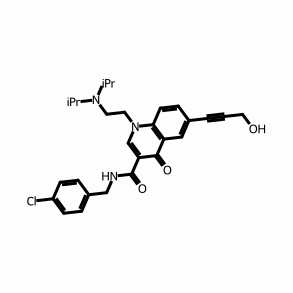 CC(C)N(CCn1cc(C(=O)NCc2ccc(Cl)cc2)c(=O)c2cc(C#CCO)ccc21)C(C)C